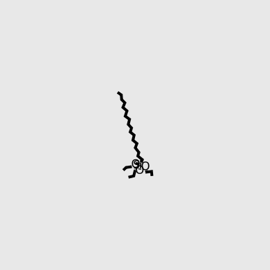 CCCCCCCCCCCCCCCCCC[Si](OCCC)(OCCC)OCCC